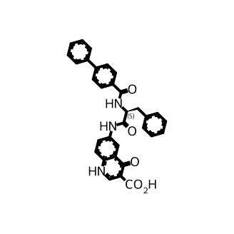 O=C(N[C@@H](Cc1ccccc1)C(=O)Nc1ccc2[nH]cc(C(=O)O)c(=O)c2c1)c1ccc(-c2ccccc2)cc1